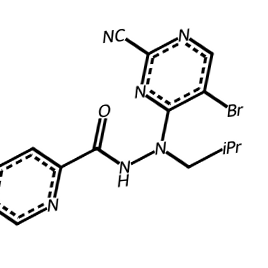 CC(C)CN(NC(=O)c1ccccn1)c1nc(C#N)ncc1Br